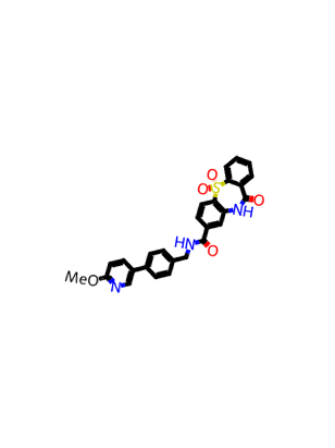 COc1ccc(-c2ccc(CNC(=O)c3ccc4c(c3)NC(=O)c3ccccc3S4(=O)=O)cc2)cn1